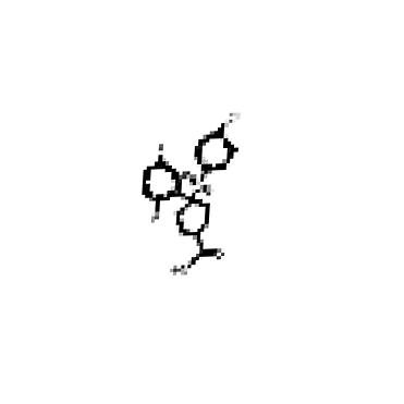 N#Cc1ccc(S(=O)(=O)C2(c3cc(F)ccc3F)CCC(C([NH])=O)CC2)cc1